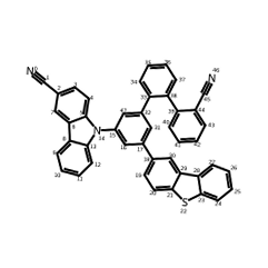 N#Cc1ccc2c(c1)c1ccccc1n2-c1cc(-c2ccc3sc4ccccc4c3c2)cc(-c2ccccc2-c2ccccc2C#N)c1